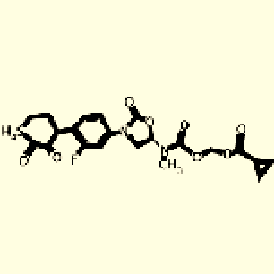 CN(C(=O)OCOC(=O)C1CC1)[C@@H]1CN(c2ccc(C3CC[SH4]C(=O)C3=O)c(F)c2)C(=O)O1